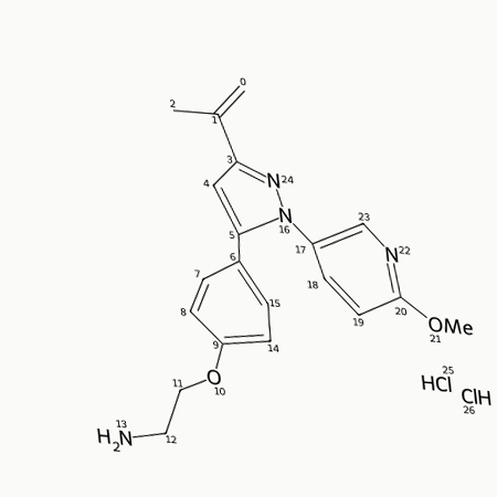 C=C(C)c1cc(-c2ccc(OCCN)cc2)n(-c2ccc(OC)nc2)n1.Cl.Cl